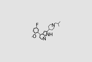 COc1ccc(F)cc1-c1ccnc2[nH]c(C3CCN(CC(C)C)CC3)cc12